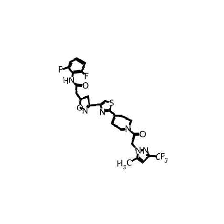 Cc1cc(C(F)(F)F)nn1CC(=O)N1CCC(c2nc(C3=NOC(CC(=O)Nc4c(F)cccc4F)C3)cs2)CC1